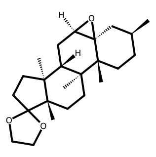 C[C@H]1CC[C@]2(C)[C@@]3(C)CC[C@]4(C)C5(CC[C@@]4(C)[C@@H]3C[C@H]3O[C@]32C1)OCCO5